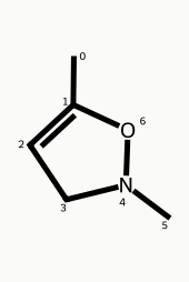 CC1=CCN(C)O1